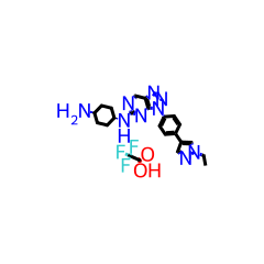 CCn1cc(-c2ccc(-n3nnc4cnc(N[C@H]5CC[C@H](N)CC5)nc43)cc2)cn1.O=C(O)C(F)(F)F